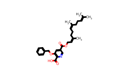 CC(C)=CCCC(C)=CCCC(C)=CCOC(=O)c1cnc(C(=O)O)c(OCc2ccccc2)c1